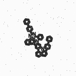 c1ccc(-c2ccc(-c3nc(-c4ccccc4)nc(-c4ccccc4-n4c5ccccc5c5cc(-c6ccccc6)c(-n6c7ccccc7c7ccc(-c8ccccc8)cc76)cc54)n3)cc2)cc1